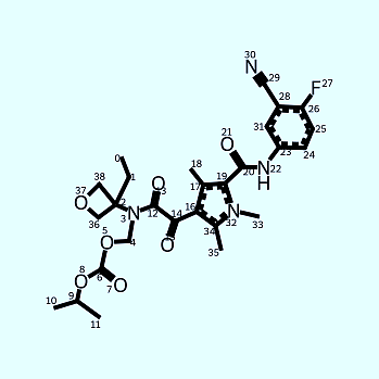 CCC1(N(COC(=O)OC(C)C)C(=O)C(=O)c2c(C)c(C(=O)Nc3ccc(F)c(C#N)c3)n(C)c2C)COC1